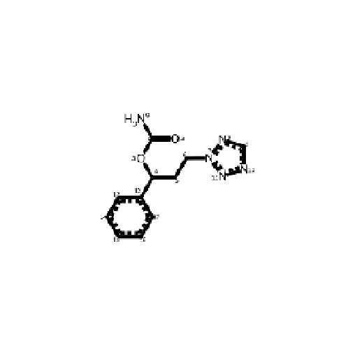 NC(=O)OC(CCn1ncnn1)c1ccccc1